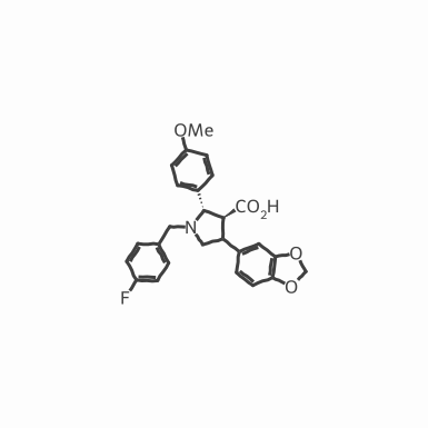 COc1ccc([C@@H]2[C@@H](C(=O)O)C(c3ccc4c(c3)OCO4)CN2Cc2ccc(F)cc2)cc1